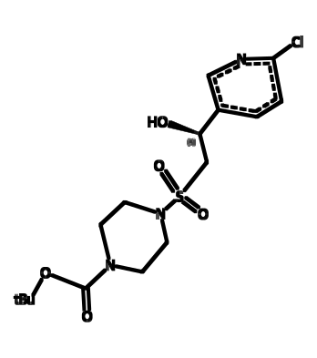 CC(C)(C)OC(=O)N1CCN(S(=O)(=O)C[C@@H](O)c2ccc(Cl)nc2)CC1